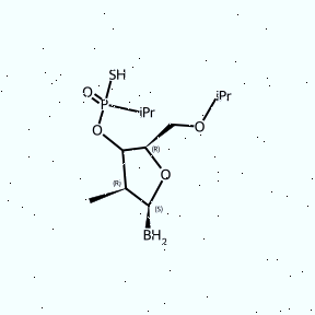 B[C@@H]1O[C@H](COC(C)C)C(OP(=O)(S)C(C)C)[C@@H]1C